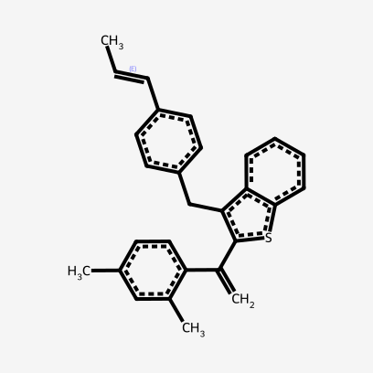 C=C(c1ccc(C)cc1C)c1sc2ccccc2c1Cc1ccc(/C=C/C)cc1